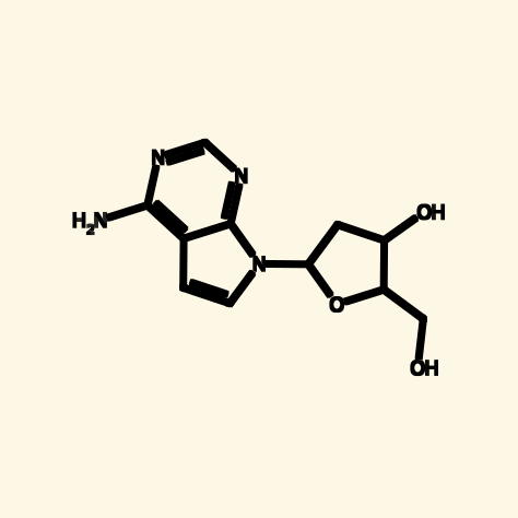 Nc1ncnc2c1ccn2C1CC(O)C(CO)O1